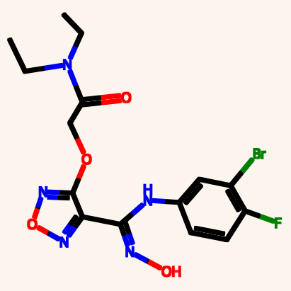 CCN(CC)C(=O)COc1nonc1/C(=N/O)Nc1ccc(F)c(Br)c1